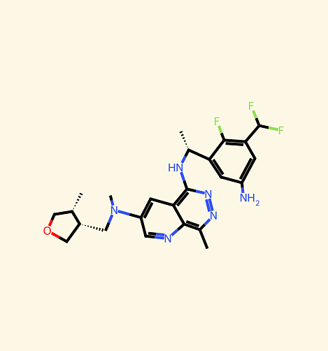 Cc1nnc(N[C@H](C)c2cc(N)cc(C(F)F)c2F)c2cc(N(C)C[C@@H]3COC[C@@H]3C)cnc12